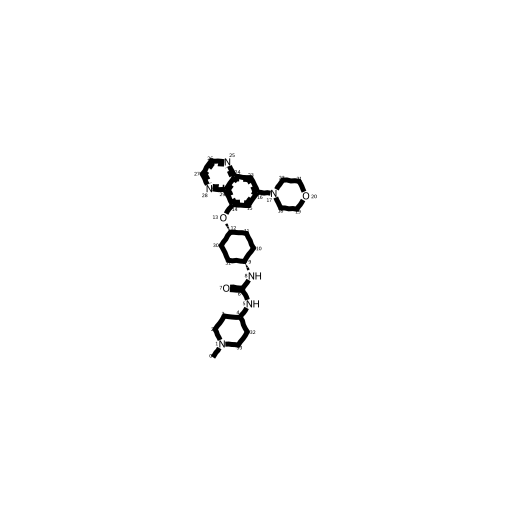 CN1CCC(NC(=O)N[C@H]2CC[C@@H](Oc3cc(N4CCOCC4)cc4nccnc34)CC2)CC1